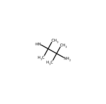 CC(C)([NH])C(C)(C)N